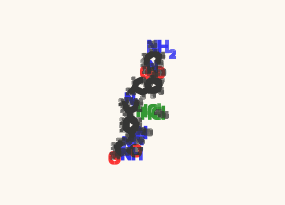 CCC(Cc1cccc(S(=O)(=O)N2CCC(N)CC2)c1)CN1CCC(c2ccc3c(N4CCC(=O)NC4=O)nn(C)c3c2)CC1.Cl.Cl